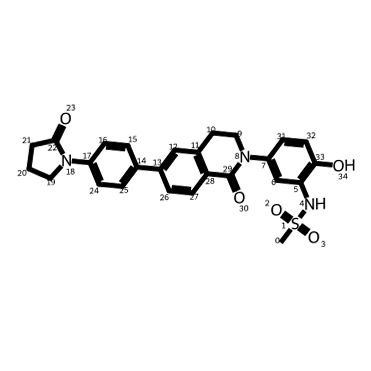 CS(=O)(=O)Nc1cc(N2CCc3cc(-c4ccc(N5CCCC5=O)cc4)ccc3C2=O)ccc1O